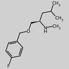 CN[C@@H](COCc1ccc(F)cc1)CC(C)C